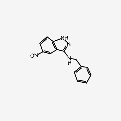 O=Nc1ccc2[nH]nc(NCc3ccccc3)c2c1